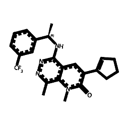 Cc1nnc(N[C@H](C)c2cccc(C(F)(F)F)c2)c2cc(C3=CCCC3)c(=O)n(C)c12